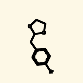 Brc1ccc(CC2OCCO2)cc1